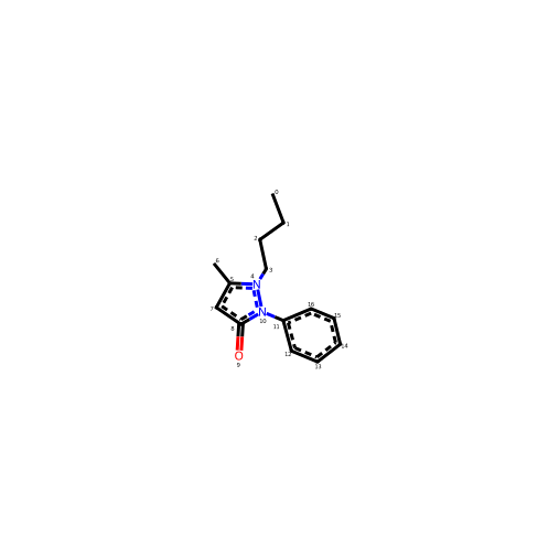 CCCCn1c(C)cc(=O)n1-c1ccccc1